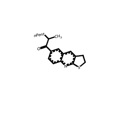 CCCCCC(C)C(=O)c1ccc2nc3c(cc2c1)CCS3